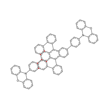 c1ccc(-c2ccccc2-c2c3ccc(-c4ccc(N5c6ccccc6Oc6ccccc65)cc4)cc3c(-c3ccccc3-c3ccccc3)c3ccc(-c4ccc(N5c6ccccc6Oc6ccccc65)cc4)cc23)cc1